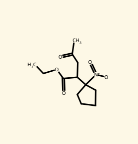 CCOC(=O)C(CC(C)=O)C1([N+](=O)[O-])CCCC1